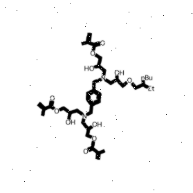 C=C(C)C(=O)OCC(O)CN(Cc1ccc(CN(CC(O)COC(=O)C(=C)C)CC(O)COC(=O)C(=C)C)cc1)CC(O)COCC(CC)CCCC